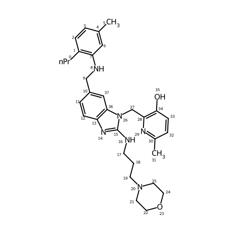 CCCc1ccc(C)cc1NCc1ccc2nc(NCCCN3CCOCC3)n(Cc3nc(C)ccc3O)c2c1